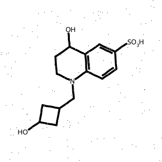 O=S(=O)(O)c1ccc2c(c1)C(O)CCN2CC1CC(O)C1